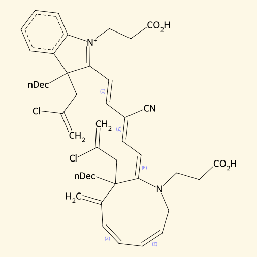 C=C(Cl)CC1(CCCCCCCCCC)C(=C)/C=C\C=C/CN(CCC(=O)O)/C1=C/C=C(C#N)/C=C/C1=[N+](CCC(=O)O)c2ccccc2C1(CCCCCCCCCC)CC(=C)Cl